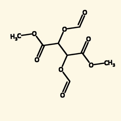 COC(=O)C(OC=O)C(OC=O)C(=O)OC